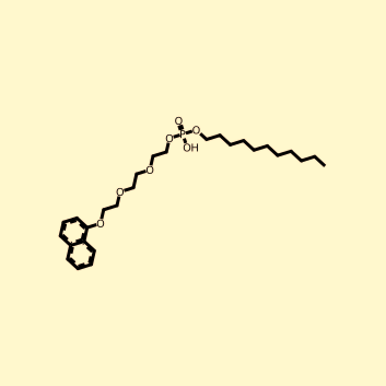 CCCCCCCCCCCOP(=O)(O)OCCOCCOCCOc1cccc2ccccc12